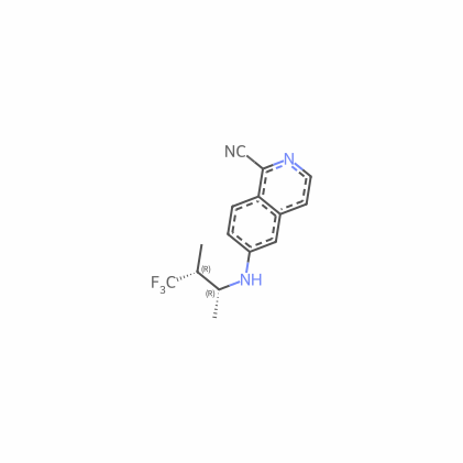 C[C@H]([C@@H](C)Nc1ccc2c(C#N)nccc2c1)C(F)(F)F